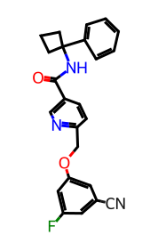 N#Cc1cc(F)cc(OCc2ccc(C(=O)NC3(c4ccccc4)CCC3)cn2)c1